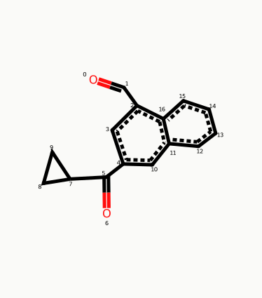 O=Cc1cc(C(=O)C2CC2)cc2ccccc12